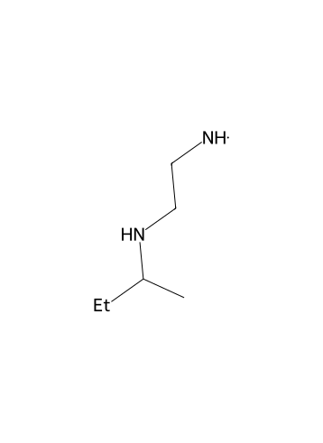 CCC(C)NCC[NH]